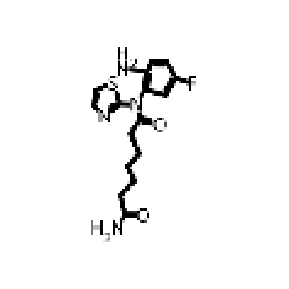 NC(=O)CCCCCC(=O)N(c1nccs1)c1cc(F)ccc1N